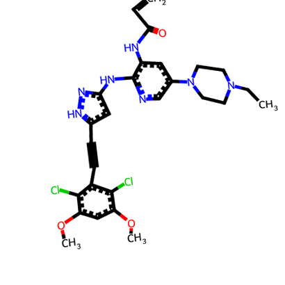 C=CC(=O)Nc1cc(N2CCN(CC)CC2)cnc1Nc1cc(C#Cc2c(Cl)c(OC)cc(OC)c2Cl)[nH]n1